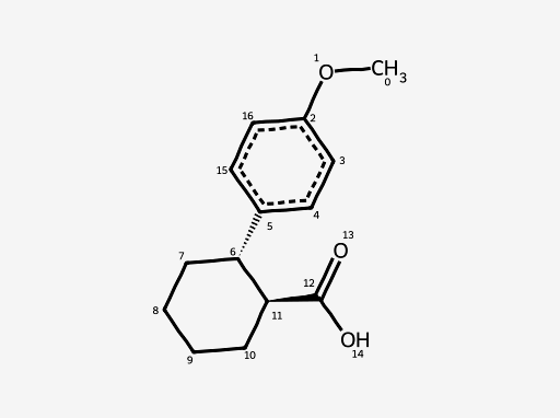 COc1ccc([C@H]2CCCC[C@@H]2C(=O)O)cc1